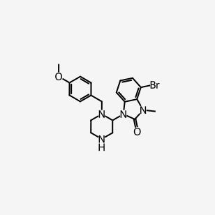 COc1ccc(CN2CCNCC2n2c(=O)n(C)c3c(Br)cccc32)cc1